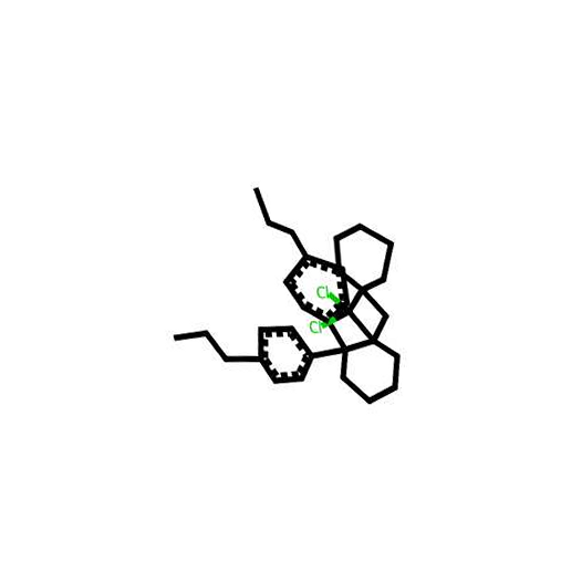 CCCc1ccc(C2(c3ccc(CCC)cc3)CCCCC23CC2(CCCCC2)C3(Cl)Cl)cc1